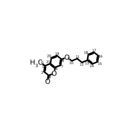 Cc1cc(=O)oc2cc(OCCCc3ccccc3)ccc12